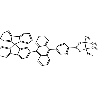 CC1(C)OB(c2ccc(-c3c4ccccc4c(-c4ccc5c(c4)C4(C6=CCCC=C6c6ccccc64)c4ccccc4-5)c4ccccc34)cn2)OC1(C)C